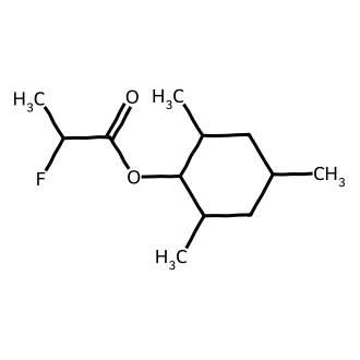 CC1CC(C)C(OC(=O)C(C)F)C(C)C1